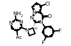 CC(=O)c1cnc(N)nc1N1CC[C@H]1c1nn2ccc(Cl)c2c(=O)n1-c1cc(F)cc(F)c1